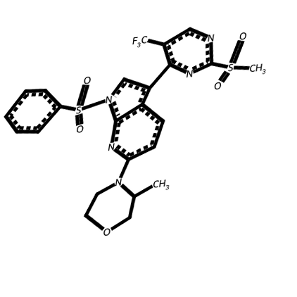 CC1COCCN1c1ccc2c(-c3nc(S(C)(=O)=O)ncc3C(F)(F)F)cn(S(=O)(=O)c3ccccc3)c2n1